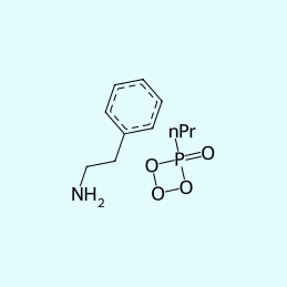 CCCP1(=O)OOO1.NCCc1ccccc1